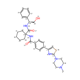 CN1CCN(c2nc(-c3ccc(C(=O)NC4(C(=O)N[C@H](CO)c5ccccc5)CCCCC4)cc3)cs2)CC1